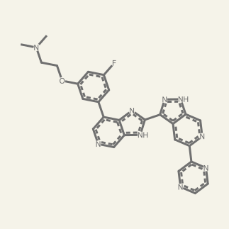 CN(C)CCOc1cc(F)cc(-c2cncc3[nH]c(-c4n[nH]c5cnc(-c6cnccn6)cc45)nc23)c1